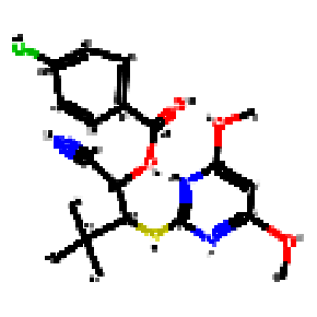 COc1cc(OC)nc(SC(C(C#N)OC(=O)c2ccc(Cl)cc2)C(C)(C)C)n1